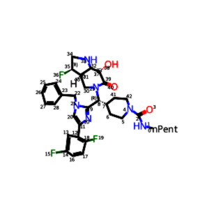 CCCCCNC(=O)N1CCC([C@H](c2nc(-c3cc(F)ccc3F)cn2Cc2ccccc2)N2C[C@@H]3C(NC[C@@H]3F)[C@H](O)C2=O)CC1